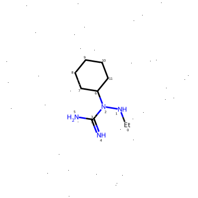 CCNN(C(=N)N)C1CCCCC1